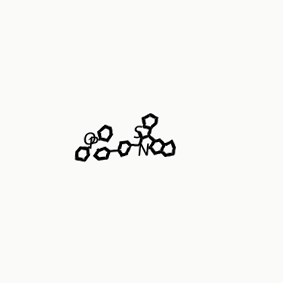 O=P(c1ccccc1)(c1ccccc1)c1cccc(-c2ccc(-c3nc4cc5ccccc5cc4c4c3sc3ccccc34)cc2)c1